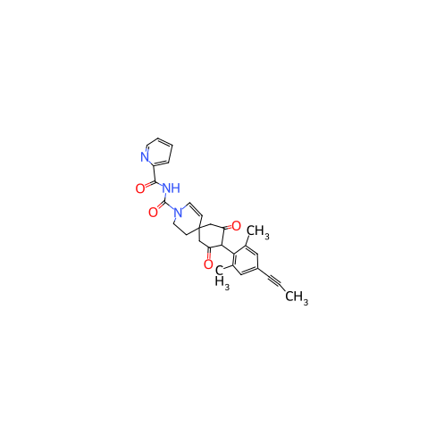 CC#Cc1cc(C)c(C2C(=O)CC3(C=CN(C(=O)NC(=O)c4ccccn4)CC3)CC2=O)c(C)c1